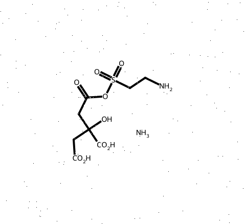 N.NCCS(=O)(=O)OC(=O)CC(O)(CC(=O)O)C(=O)O